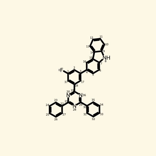 Fc1cc(-c2ccc3[nH]c4ccccc4c3c2)cc(-c2nc(-c3ccccc3)nc(-c3ccccc3)n2)c1